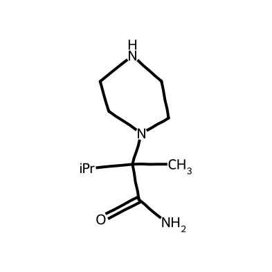 CC(C)C(C)(C(N)=O)N1CCNCC1